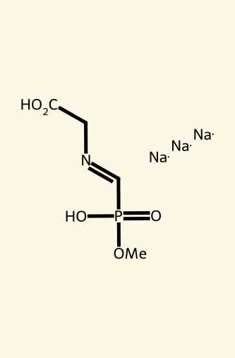 COP(=O)(O)C=NCC(=O)O.[Na].[Na].[Na]